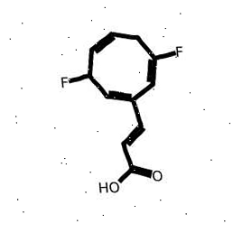 O=C(O)/C=C/C1=CC(F)/C=C\C/C(F)=C\1